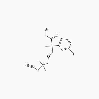 C#CCC(C)(C)COCC(C)(C(=O)CBr)c1cccc(I)c1